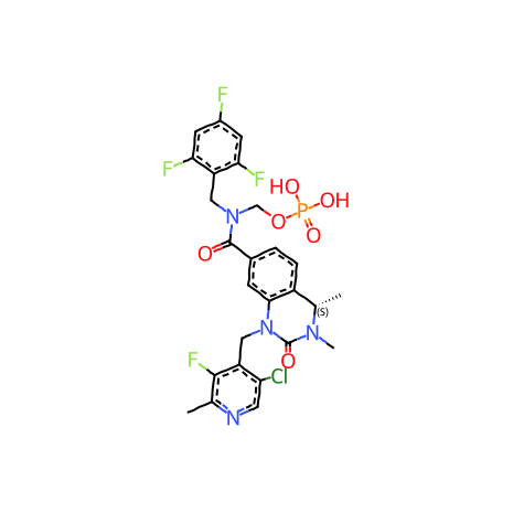 Cc1ncc(Cl)c(CN2C(=O)N(C)[C@@H](C)c3ccc(C(=O)N(COP(=O)(O)O)Cc4c(F)cc(F)cc4F)cc32)c1F